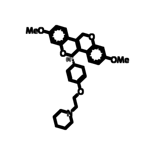 COc1ccc2c(c1)O[C@@H](C1C=CC(OCCN3CCCCC3)=CC1)C1=C2COc2cc(OC)ccc21